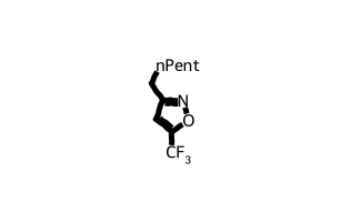 CCCCCCc1cc(C(F)(F)F)on1